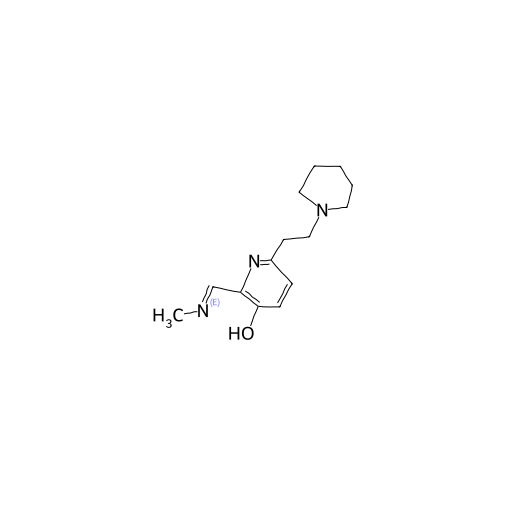 C/N=C/c1nc(CCN2CCCCC2)ccc1O